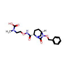 CN(CCONC(=O)[C@@H]1CC[C@@H]2CN1C(=O)N2OCc1ccccc1)C(=O)O